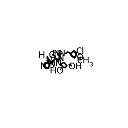 COc1ccc(CCNc2nc(C)c(-c3nc4cnccc4s3)c(N[C@@H]3C[C@H](CO)C[C@H]3O)n2)cc1Cl